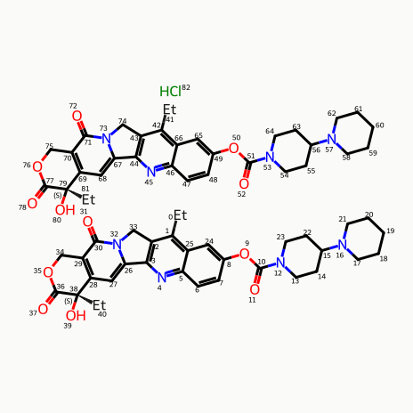 CCc1c2c(nc3ccc(OC(=O)N4CCC(N5CCCCC5)CC4)cc13)-c1cc3c(c(=O)n1C2)COC(=O)[C@]3(O)CC.CCc1c2c(nc3ccc(OC(=O)N4CCC(N5CCCCC5)CC4)cc13)-c1cc3c(c(=O)n1C2)COC(=O)[C@]3(O)CC.Cl